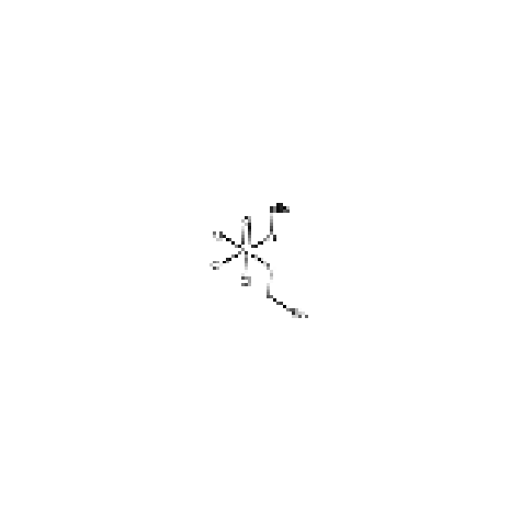 CCCC[O][V](=[O])([Cl])([Cl])([Cl])[O]CC(C)(C)C